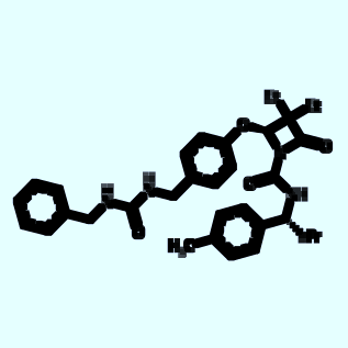 CCC[C@@H](NC(=O)N1C(=O)C(CC)(CC)[C@@H]1Oc1ccc(CNC(=O)NCc2ccccc2)cc1)c1ccc(C)cc1